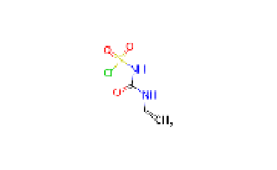 C=CNC(=O)NS(=O)(=O)Cl